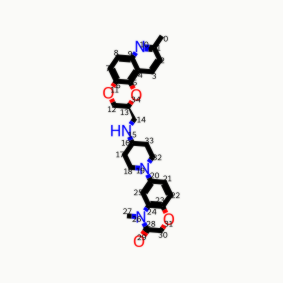 Cc1ccc2c3c(ccc2n1)OC[C@H](CNC1CCN(c2ccc4c(c2)N(C)C(=O)CO4)CC1)O3